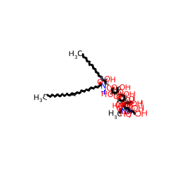 CCCCCCCCCCCCC/C=C/[C@@H](O)[C@H](CO[C@@H]1O[C@H](CO)[C@@H](O[C@@H]2O[C@H](CO)[C@H](O)[C@H](O[C@]3(C(=O)O)C[C@H](O)[C@@H](NC(C)=O)[C@H]([C@H](O)[C@H](O)CO)O3)[C@H]2O)[C@H](O)[C@H]1O)NC(=O)CCCCCCCCCCCCCCCCCCCCCCC